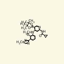 COc1c(Nc2cc(NC(=O)C3CC3)ncc2B2OC(C)(C)C(C)(C)O2)cccc1-c1ncn(C)n1